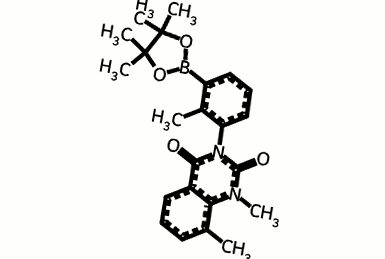 Cc1c(B2OC(C)(C)C(C)(C)O2)cccc1-n1c(=O)c2cccc(C)c2n(C)c1=O